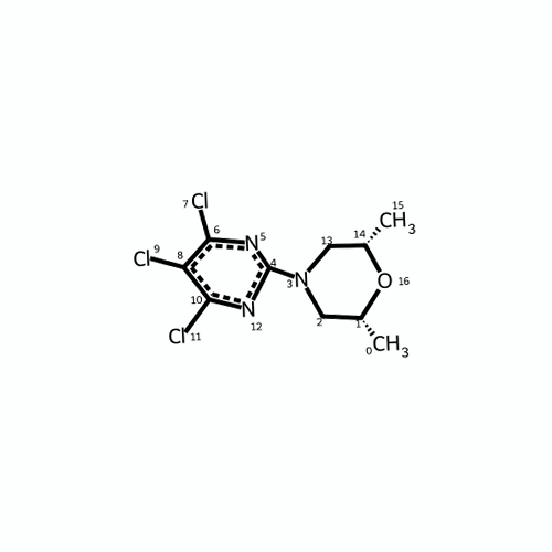 C[C@@H]1CN(c2nc(Cl)c(Cl)c(Cl)n2)C[C@H](C)O1